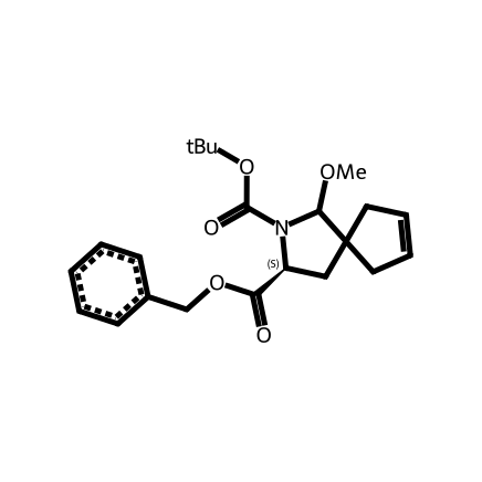 COC1N(C(=O)OC(C)(C)C)[C@H](C(=O)OCc2ccccc2)CC12CC=CC2